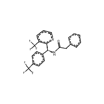 O=C(Cc1ccccc1)N[C@@H](c1ccc(C(F)(F)F)cc1)c1ncccc1C(F)(F)F